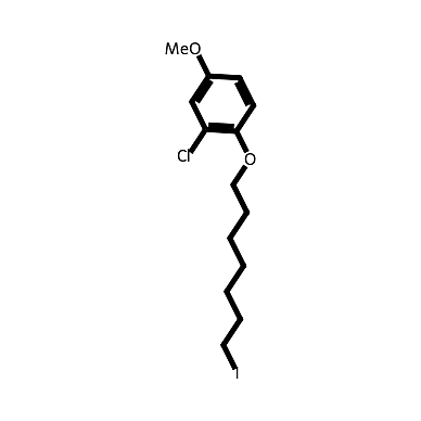 COc1ccc(OCCCCCCCI)c(Cl)c1